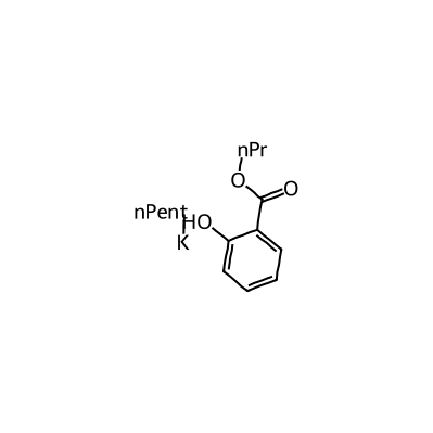 CCCC[CH2][K].CCCOC(=O)c1ccccc1O